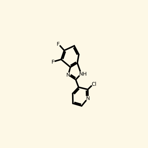 Fc1ccc2[nH]c(-c3cccnc3Cl)nc2c1F